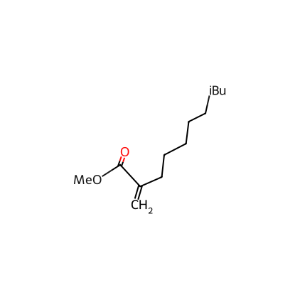 C=C(CCCCCC(C)CC)C(=O)OC